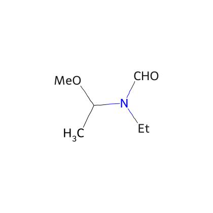 CCN(C=O)C(C)OC